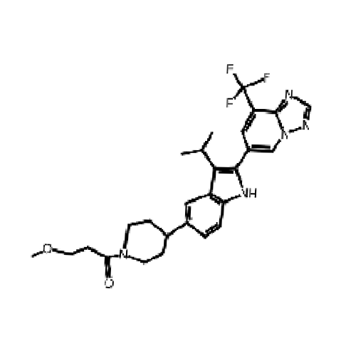 COCCC(=O)N1CCC(c2ccc3[nH]c(-c4cc(C(F)(F)F)c5ncnn5c4)c(C(C)C)c3c2)CC1